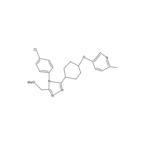 COCc1nnc(C2CCC(Oc3ccc(C)nc3)CC2)n1-c1ccc(Cl)cc1